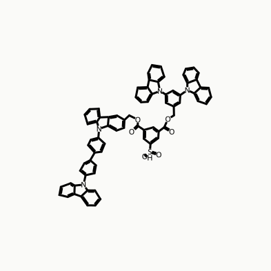 O=C(OCc1cc(-n2c3ccccc3c3ccccc32)cc(-n2c3ccccc3c3ccccc32)c1)c1cc(C(=O)OCc2ccc3c(c2)c2ccccc2n3-c2ccc(-c3ccc(-n4c5ccccc5c5ccccc54)cc3)cc2)cc([SH](=O)=O)c1